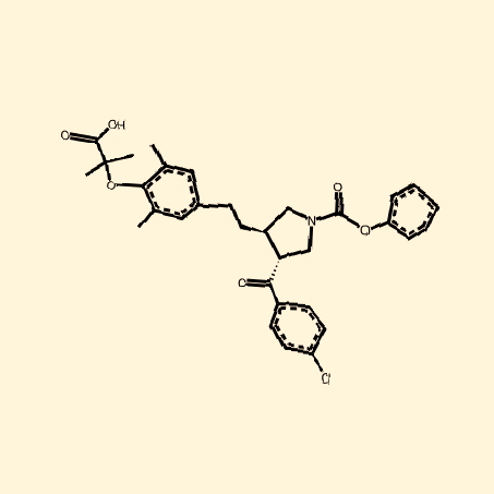 Cc1cc(CC[C@H]2CN(C(=O)Oc3ccccc3)C[C@@H]2C(=O)c2ccc(Cl)cc2)cc(C)c1OC(C)(C)C(=O)O